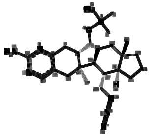 CC(C)(C)[Si](C)(C)OC[C@H]1Cc2nc(N)ncc2C[C@]1(C)[C@H]1CC[C@]2(C)CCC[C@H]2[C@@H]1CN=[N+]=[N-]